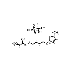 C=CC(=O)OCCCCCCN1C=CN(C)C1.O=S(=O)(O)C(F)(F)F